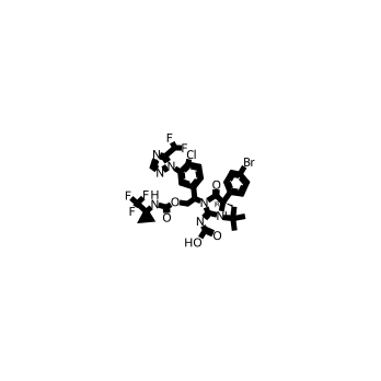 CC(C)(C)C[C@]1(c2ccc(Br)cc2)NC(=NC(=O)O)N(C(COC(=O)NC2(C(F)(F)F)CC2)c2ccc(Cl)c(-n3ncnc3C(F)F)c2)C1=O